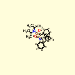 CC(C)N(C(C)C)S(=O)(=O)C(S)C12CCC(C[C@@]1(C#N)Cc1ccccc1)C2(C)C